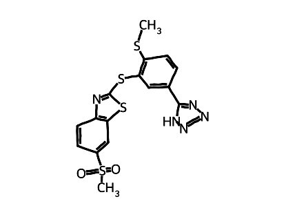 CSc1ccc(-c2nnn[nH]2)cc1Sc1nc2ccc(S(C)(=O)=O)cc2s1